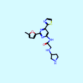 Cc1ccc(-c2nc(NC(=O)CNC3CCNC3)cc(-c3nccs3)n2)o1